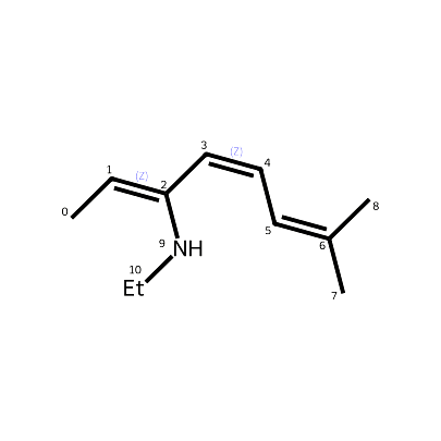 C/C=C(/C=C\C=C(C)C)NCC